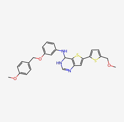 COCc1ccc(-c2cc3c(s2)C(Nc2cccc(OCc4ccc(OC)cc4)c2)NC=N3)s1